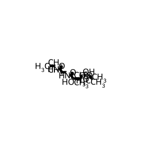 CC(C)(C)CNC(=O)CCNC(=O)C(O)C(C)(C)COP(=O)(O)OC(C)(C)C